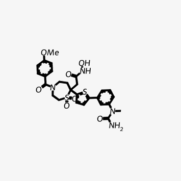 COc1ccc(C(=O)N2CCC(CC(=O)NO)(c3ccc(-c4cccc(N(C)C(N)=O)c4)s3)S(=O)(=O)CC2)cc1